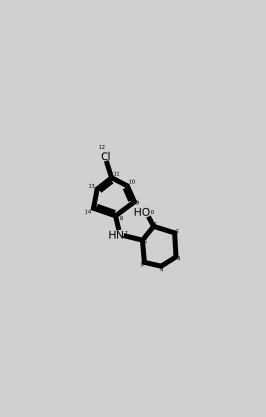 OC1CCCCC1Nc1ccc(Cl)cc1